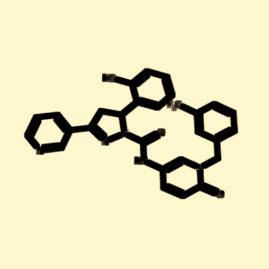 O=C(Nc1ccc(=O)n(Cc2cccc(C(F)(F)F)c2)c1)N1N=C(c2cccnc2)CC1c1ccccc1O